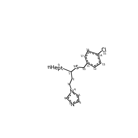 CCCCCCCC(CCn1ccnc1)SCc1ccc(Cl)cc1